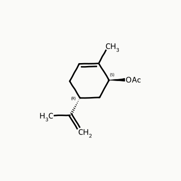 C=C(C)[C@@H]1CC=C(C)[C@@H](OC(C)=O)C1